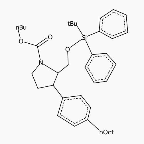 CCCCCCCCc1ccc(C2CCN(C(=O)OCCCC)C2CO[Si](c2ccccc2)(c2ccccc2)C(C)(C)C)cc1